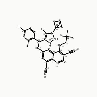 Cc1nc(F)ccc1[C@H](Nc1cc(C#N)c2ncc(C#N)c(NCC(C)(C)C)c2c1)C1=C(F)N(C23CC(C2)C3)NN1